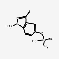 CC(C)(C)[Si](C)(C)Oc1ccc2c(c1)c(I)nn2C(=O)O